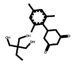 CCC(CO)(CO)CO.Cc1cc(C)c(C2CC(=O)CC(=O)C2)c(C)c1